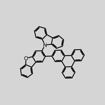 c1ccc2c(c1)oc1cc(-n3c4ccccc4c4ccccc43)c(-c3ccc4c5ccccc5c5ccccc5c4c3)cc12